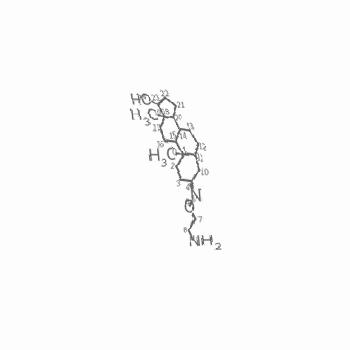 C[C@]12CCC(=NOCCN)CC1CCC1C2CC[C@@]2(C)C1CC[C@@H]2O